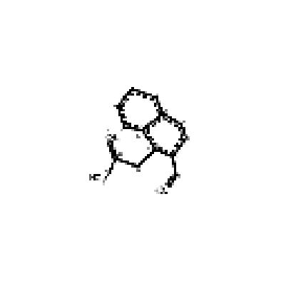 C=Cc1ccc2ccccc2c1CC(=C)C(=O)O